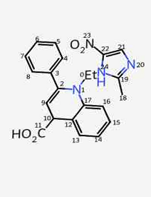 CCN1C(c2ccccc2)=CC(C(=O)O)c2ccccc21.Cc1ncc([N+](=O)[O-])[nH]1